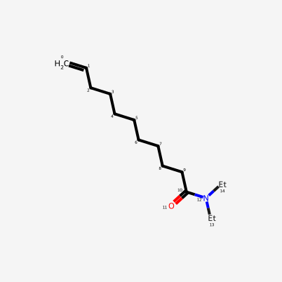 C=CCCCCCCCCC(=O)N(CC)CC